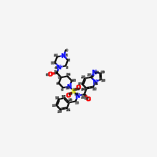 CN1CCN(C(=O)C2CCN(S(=O)(=O)N(Cc3ccccc3)C(=O)c3ccc4nccn4c3)CC2)CC1